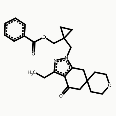 CCc1nn(CC2(COC(=O)c3ccccc3)CC2)c2c1C(=O)CC1(CCOCC1)C2